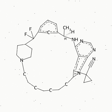 C[C@H]1Nc2ncnc3nc(c(C4(C#N)CC4)cc23)CCCCCCCN2CCC(CC2)C(F)(F)c2cccc1c2